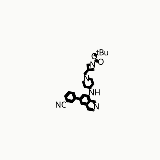 CC(C)(C)OC(=O)N1CC(CN2CCC(Nc3cc(-c4cccc(C#N)c4)cc4ccncc34)CC2)C1